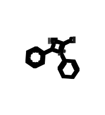 ClC1=[N+](C2=CCCC=C2)C(c2ccccc2)N1